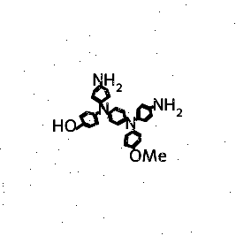 COc1ccc(N(c2ccc(N)cc2)c2ccc(N(c3ccc(N)cc3)c3ccc(CO)cc3)cc2)cc1